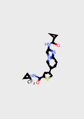 O=C(NC1(C(F)(F)F)CC1)c1cc(-c2ccc3nc(NC(=O)C4CC4)cn3c2)cs1